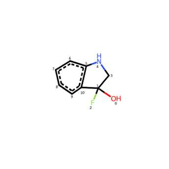 OC1(F)CNc2ccccc21